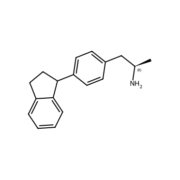 C[C@@H](N)Cc1ccc(C2CCc3ccccc32)cc1